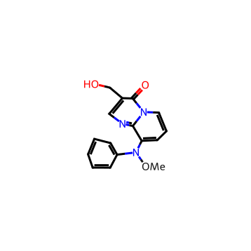 CON(c1ccccc1)c1cccn2c(=O)c(CO)cnc12